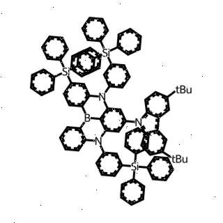 CC(C)(C)c1ccc2c(c1)c1cc(C(C)(C)C)ccc1n2-c1cc2c3c(c1)N(c1cccc([Si](c4ccccc4)(c4ccccc4)c4ccccc4)c1)c1cc([Si](c4ccccc4)(c4ccccc4)c4ccccc4)ccc1B3c1ccccc1N2c1cccc([Si](c2ccccc2)(c2ccccc2)c2ccccc2)c1